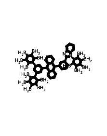 Bc1c(B)c(B)c(-c2cc(-c3c(B)c(B)c(B)c(B)c3B)cc(-c3c4ccccc4c(-c4cccc(-c5nc6ccccc6n5-c5c(B)c(B)c(B)c(B)c5B)c4)c4ccccc34)c2)c(B)c1B